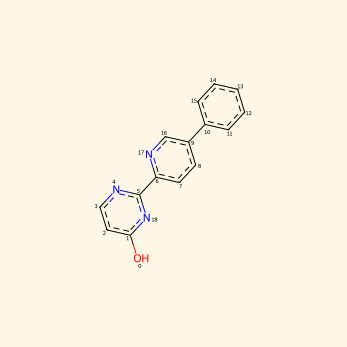 Oc1ccnc(-c2ccc(-c3ccccc3)cn2)n1